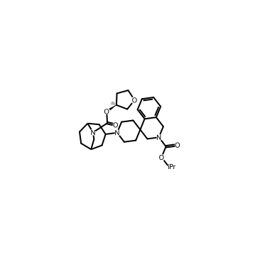 CC(C)OC(=O)N1Cc2ccccc2C2(CCN(C3CC4CCC(C3)N(C(=O)O[C@H]3CCOC3)C4)CC2)C1